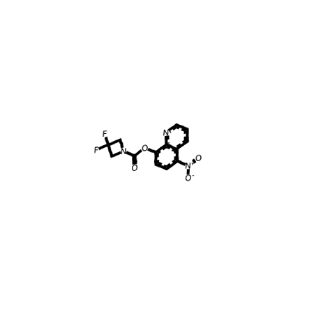 O=C(Oc1ccc([N+](=O)[O-])c2cccnc12)N1CC(F)(F)C1